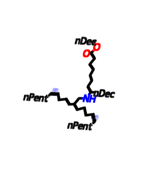 CCCCC/C=C\CCCC(CCC/C=C\CCCCC)CNC(CCCCCCCCCC)CCCCCCC(=O)OCCCCCCCCCC